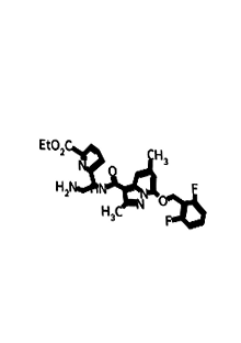 CCOC(=O)c1cccc(C(CN)NC(=O)c2c(C)nn3c(OCc4c(F)cccc4F)cc(C)cc23)n1